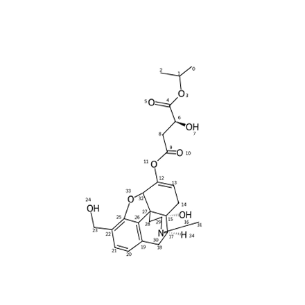 CC(C)OC(=O)[C@@H](O)CC(=O)OC1=CC[C@@]2(O)[C@H]3Cc4ccc(CO)c5c4C2(CCN3C)C1O5